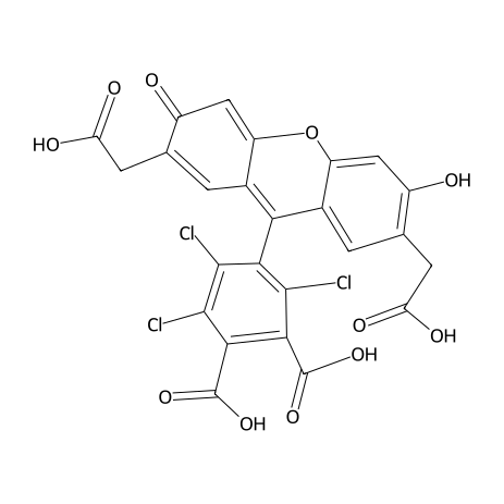 O=C(O)Cc1cc2c(-c3c(Cl)c(Cl)c(C(=O)O)c(C(=O)O)c3Cl)c3cc(CC(=O)O)c(=O)cc-3oc2cc1O